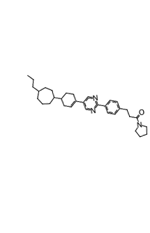 CCCC1CCCC(C2CC=C(c3cnc(-c4ccc(CCC(=O)N5CCCC5)cc4)nc3)CC2)CC1